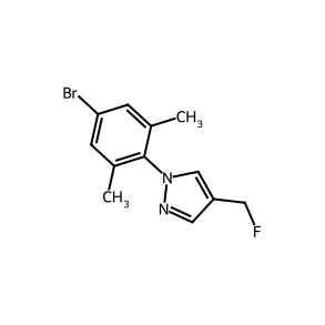 Cc1cc(Br)cc(C)c1-n1cc(CF)cn1